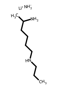 CCCNCCCCC(C)N.[Li+].[NH2-]